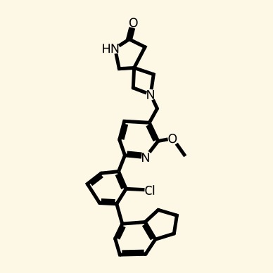 COc1nc(-c2cccc(-c3cccc4c3CCC4)c2Cl)ccc1CN1CC2(CNC(=O)C2)C1